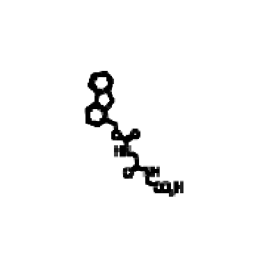 O=C(O)CNC(=O)CNC(=O)OCc1cccc2c1Cc1ccccc1-2